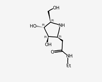 CCNC(=O)C[C@@H]1N[C@H](CO)[C@@H](O)[C@@H]1O